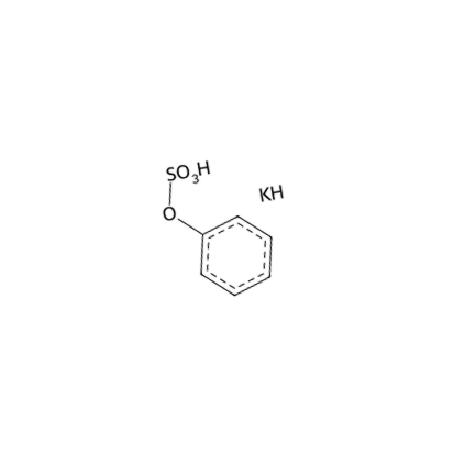 O=S(=O)(O)Oc1ccccc1.[KH]